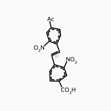 CC(=O)c1ccc(/C=C/c2ccc(C(=O)O)cc2[N+](=O)[O-])c([N+](=O)[O-])c1